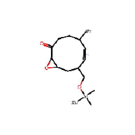 CC(C)C1/C=C\C(CO[Si](C)(C)C(C)(C)C)CC2OC2C(=O)CC1